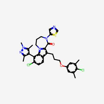 Cc1cc(OCCCc2c3n(c4c(-c5c(C)nn(C)c5C)c(Cl)ccc24)CCCN(c2cncs2)C3=O)cc(C)c1Cl